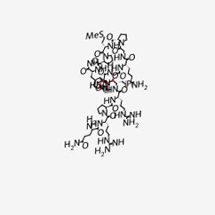 CSCC[C@H](NC(=O)[C@@H]1CCCN1C(=O)CNC(=O)[C@H](CCCCN)NC(=O)[C@H](Cc1c[nH]cn1)NC(=O)[C@H](CO)NC(=O)[C@H](CC(C)C)NC(=O)[C@H](CCCNC(=N)N)NC(=O)[C@@H]1CCCN1C(=O)[C@H](CCCNC(=N)N)NC(=O)[C@@H](N)CCC(N)=O)C(=O)N1CCC[C@H]1C(=O)N[C@@H](Cc1ccccc1)C(N)=O